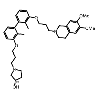 COc1cc2c(cc1OC)CN(CCCOc1cccc(-c3cccc(OCCCN4CC[C@@H](O)C4)c3C)c1C)CC2